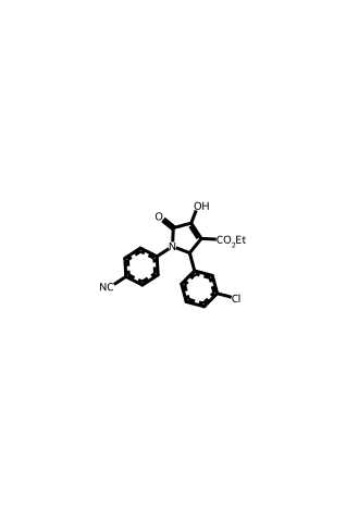 CCOC(=O)C1=C(O)C(=O)N(c2ccc(C#N)cc2)C1c1cccc(Cl)c1